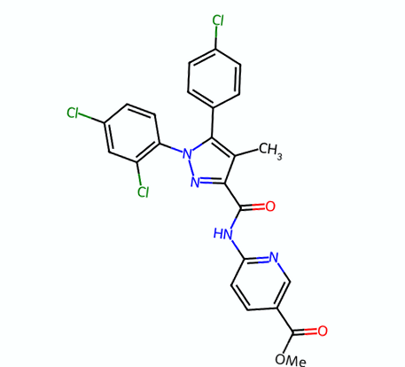 COC(=O)c1ccc(NC(=O)c2nn(-c3ccc(Cl)cc3Cl)c(-c3ccc(Cl)cc3)c2C)nc1